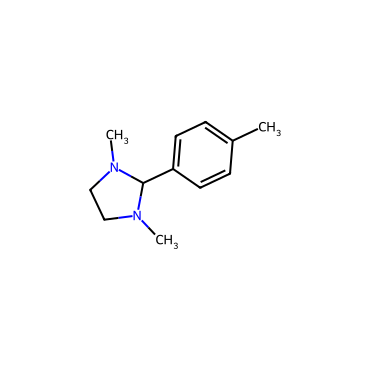 Cc1ccc(C2N(C)CCN2C)cc1